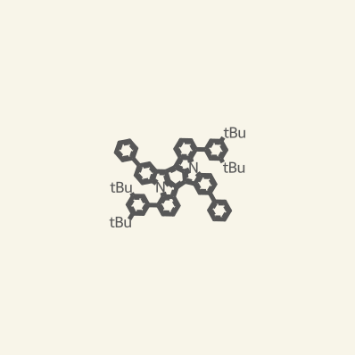 CC(C)(C)c1cc(-c2cccc3c4c5c6cc(-c7ccccc7)ccc6n6c7c(-c8cc(C(C)(C)C)cc(C(C)(C)C)c8)cccc7c(c7c8cc(-c9ccccc9)ccc8n(c23)c74)c56)cc(C(C)(C)C)c1